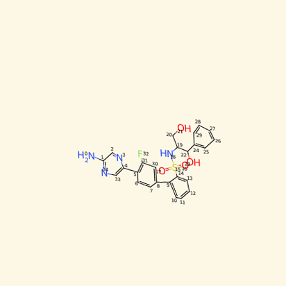 Nc1cnc(-c2ccc(-c3ccccc3S(=O)(=O)NC(CO)C(O)c3ccccc3)cc2F)cn1